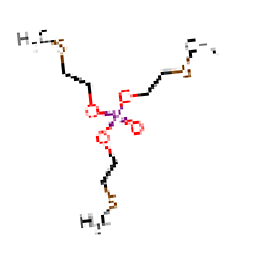 CSCCOP(=O)(OCCSC)OCCSC